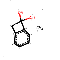 C.OC1(O)Cc2ccccc21